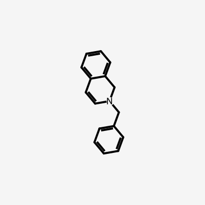 C1=CN(Cc2ccccc2)Cc2ccccc21